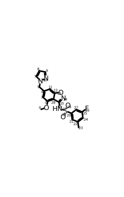 COc1cc(Cn2cccn2)cc2onc(NS(=O)(=O)c3cc(C)cc(F)c3)c12